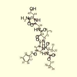 CCCC(NC(=O)[C@@H]1C[C@@H](OCc2ccccc2)CN1C(=O)C(NC(=O)OCC(C)C)C(C)C)C(=O)C(=O)NCC(=O)NC(CCO)C(N)=O